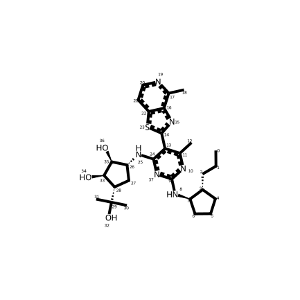 CCC[C@@H]1CCC[C@H]1Nc1nc(C)c(-c2nc3c(C)nccc3s2)c(N[C@@H]2C[C@H](C(C)(C)O)[C@@H](O)[C@H]2O)n1